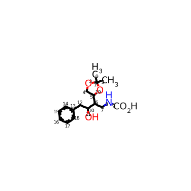 CC1(C)OCC(C(CNC(=O)O)C(O)Cc2ccccc2)O1